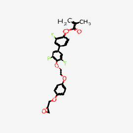 C=C(C)C(=O)Oc1ccc(-c2cc(F)c(OCCOc3ccc(OCC4CO4)cc3)c(F)c2)cc1F